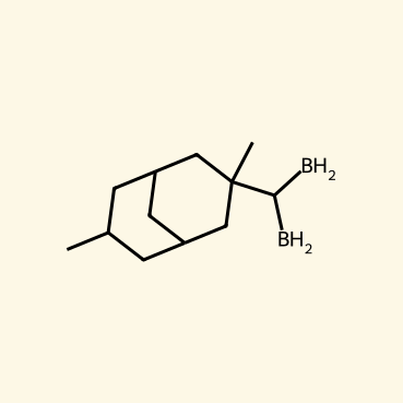 BC(B)C1(C)CC2CC(C)CC(C2)C1